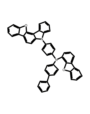 c1ccc(-c2ccc(N(c3ccc(-n4c5ccccc5c5c6oc7ccccc7c6ccc54)cc3)c3cccc4c3oc3ccccc34)cc2)cc1